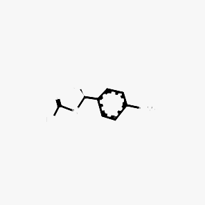 CCC(=O)N[C@@H](C)c1ccc(OC)cc1